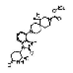 Cn1c(=O)n(C2CCC(=O)NC2=O)c2cccc(N3CCC4(CCN(C(=O)OC(C)(C)C)CC4(F)F)CC3)c21